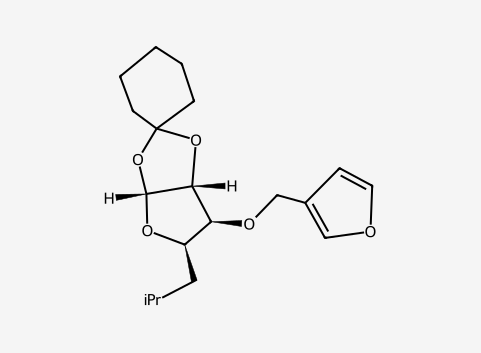 CC(C)C[C@H]1O[C@@H]2OC3(CCCCC3)O[C@@H]2[C@H]1OCc1ccoc1